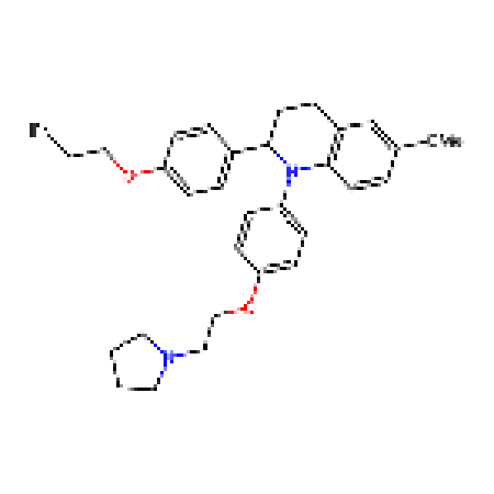 COc1ccc2c(c1)CCC(c1ccc(OCCC(C)C)cc1)N2c1ccc(OCCN2CCCC2)cc1